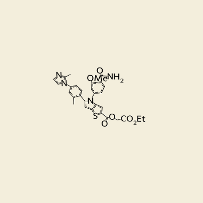 CCOC(=O)COC(=O)c1cc2c(cc(-c3ccc(-n4ccnc4C)cc3C)n2-c2ccc(C(N)=O)c(OC)c2)s1